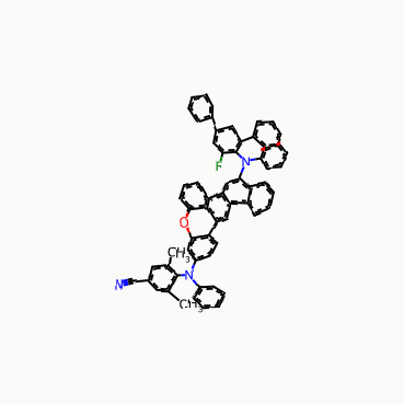 Cc1cc(C#N)cc(C)c1N(c1ccccc1)c1ccc2c(c1)Oc1cccc3c1c-2cc1c2ccccc2c(N(c2ccccc2)c2c(F)cc(-c4ccccc4)cc2-c2ccccc2)cc31